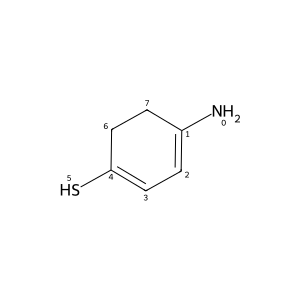 NC1=CC=C(S)CC1